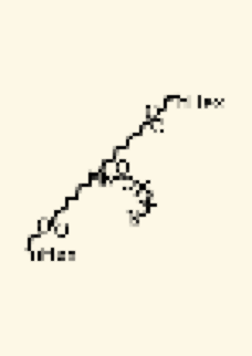 CCCCCC/C=C\COC(=O)CCCCCCCC(CCCCCCCC(=O)OC/C=C\CCCCCC)NC(=O)OCC(C)(C)CC(C)(C)CN(C)C